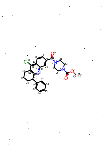 CCCOC(=O)N1CCN(C(=O)c2ccc3c(Cl)c4c(nc3c2)C(c2ccccc2)CCC4)CC1